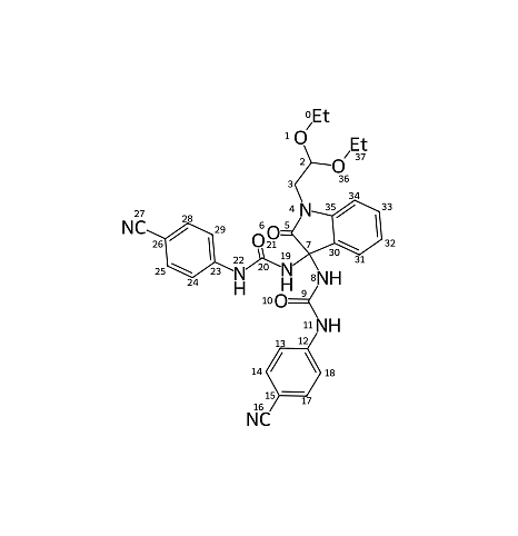 CCOC(CN1C(=O)C(NC(=O)Nc2ccc(C#N)cc2)(NC(=O)Nc2ccc(C#N)cc2)c2ccccc21)OCC